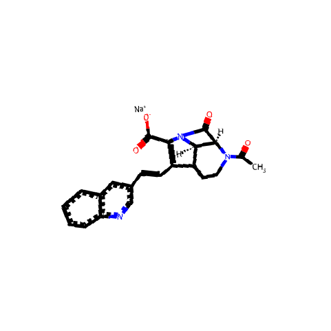 CC(=O)N1CCC2C(/C=C/c3cnc4ccccc4c3)=C(C(=O)[O-])N3C(=O)[C@@H]1[C@@H]23.[Na+]